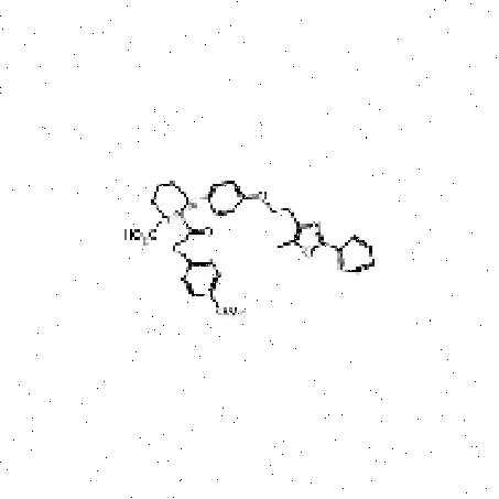 COc1ccc(OC(=O)N2[C@@H](c3ccc(OCCc4nc(-c5ccccc5)oc4C)cc3)CCC[C@H]2C(=O)O)cc1